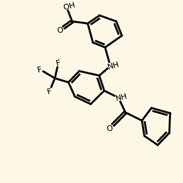 O=C(O)c1cccc(Nc2cc(C(F)(F)F)ccc2NC(=O)c2ccccc2)c1